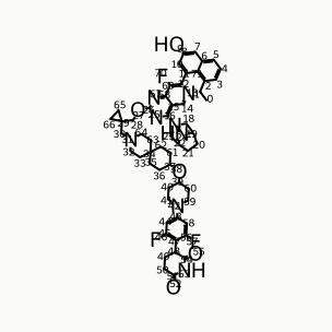 CCc1cccc2cc(O)cc(-c3ncc4c(N5CC6CCC(C5)N6)nc(OCC5(CN6CCC7(CCC(OC8CCN(c9cc(F)c(C%10CCC(=O)NC%10=O)c(F)c9)CC8)CC7)CC6)CC5)nc4c3F)c12